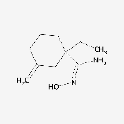 C=C1CCCC(CC)(/C(N)=N\O)C1